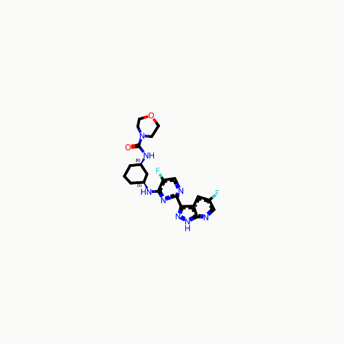 O=C(N[C@@H]1CCC[C@H](Nc2nc(-c3n[nH]c4ncc(F)cc34)ncc2F)C1)N1CCOCC1